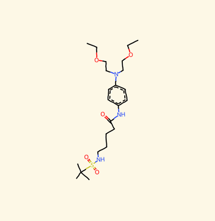 CCOCCN(CCOCC)c1ccc(NC(=O)CCCCNS(=O)(=O)C(C)(C)C)cc1